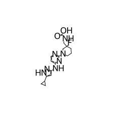 O=C(O)NC[C@]1(F)CCCN(c2nccc(Nc3cc(C4CC4)[nH]n3)n2)C1